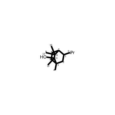 CC(C)C1CC2(C)CCC1C(C)(C)C2(C)O